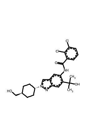 CC(C)(O)c1cc2nn([C@H]3CC[C@H](CO)CC3)cc2cc1NC(=O)c1cccc(Cl)c1Cl